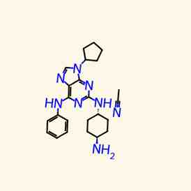 CC#N.N[C@H]1CC[C@H](Nc2nc(Nc3ccccc3)c3ncn(C4CCCC4)c3n2)CC1